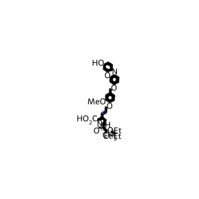 CC[Si](CC)(CC)O[C@H](C)[C@H]1C(=O)N2C(C(=O)O)=C(/C=C/COc3ccc(COc4ccc5c(c4)OC4=CC(O)C=CC4=N5)cc3OC)C[C@H]12